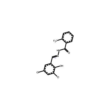 O=C(N/N=C/c1cc(Cl)cc(Cl)c1O)c1ccccc1C(F)(F)F